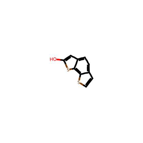 Oc1cc2ccc3ccsc3c2s1